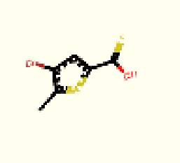 Cc1sc(C(O)=S)cc1Br